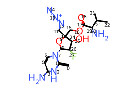 C=C1NC(N)C=CN1[C@@H]1O[C@](CN=[N+]=[N-])(COC(=O)C(N)C(C)C)[C@@H](O)[C@H]1F